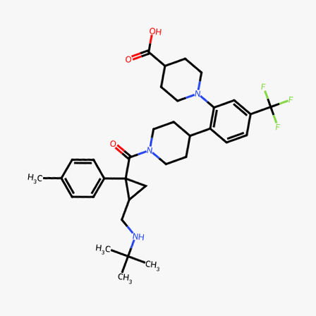 Cc1ccc(C2(C(=O)N3CCC(c4ccc(C(F)(F)F)cc4N4CCC(C(=O)O)CC4)CC3)CC2CNC(C)(C)C)cc1